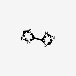 c1nnc(-c2nncs2)s1